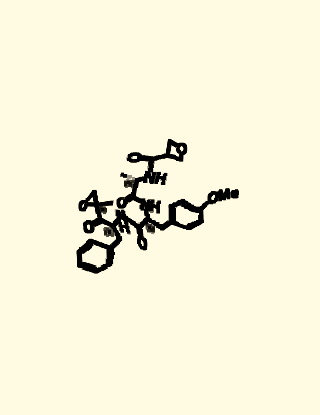 COc1ccc(C[C@H](NC(=O)[C@H](C)NC(=O)C2COC2)C(=O)N[C@@H](Cc2ccccc2)C(=O)[C@@]2(C)CO2)cc1